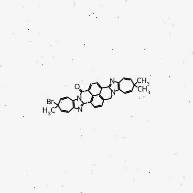 CC1(C)C=Cc2nc3n(c2C=C1)Cc1ccc2c4c1c-3ccc4c(=O)n1c3c(nc21)C=CC(C)(Br)C=C3